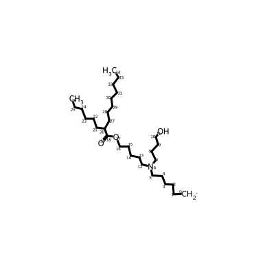 [CH2]CCCCCN(CCCCO)CCCCCOC(=O)C(CCCCCC)CCCCCCCC